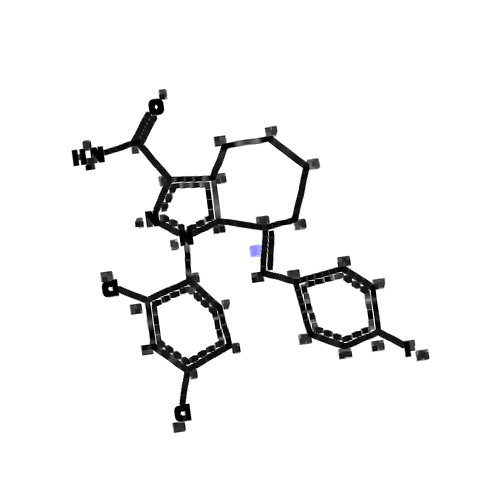 NC(=O)c1nn(-c2ccc(Cl)cc2Cl)c2c1CCCC/C2=C\c1ccc(F)cc1